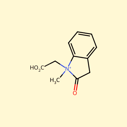 C[N+]1(CC(=O)O)C(=O)Cc2ccccc21